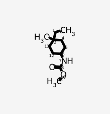 CCC1(C)CCC(NC(=O)OC)CC1